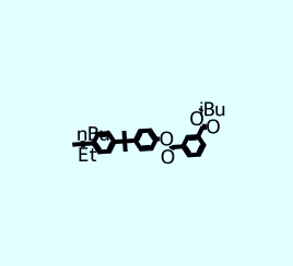 CCCCC(C)(CC)c1ccc(C(C)(C)c2ccc(OC(=O)c3cccc(C(=O)OC(C)CC)c3)cc2)cc1